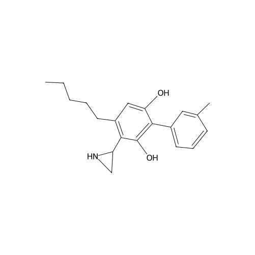 CCCCCc1cc(O)c(-c2cccc(C)c2)c(O)c1C1CN1